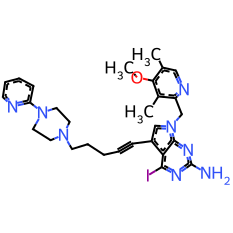 COc1c(C)cnc(Cn2cc(C#CCCCN3CCN(c4ccccn4)CC3)c3c(I)nc(N)nc32)c1C